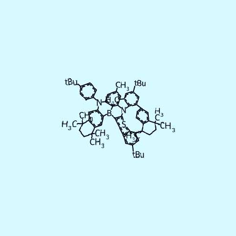 Cc1cc2c3c(c1)N1c4sc5c(cc(C(C)(C)C)cc5c4B3c3cc4c(cc3N2c2ccc(C(C)(C)C)cc2)C(C)(C)CCC4(C)C)C2(C)CCC(C)(C)c3cc(ccc32)-c2cc(C(C)(C)C)cc(C)c21